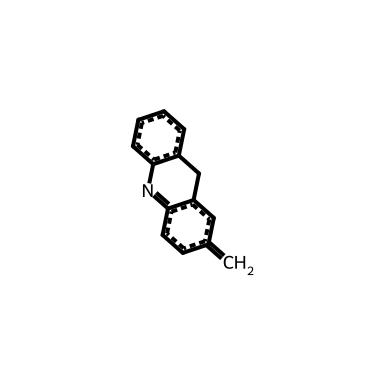 C=c1ccc2c(c1)Cc1ccccc1N=2